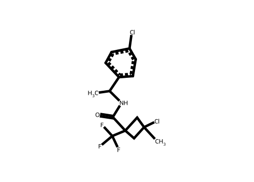 CC(NC(=O)C1(C(F)(F)F)CC(C)(Cl)C1)c1ccc(Cl)cc1